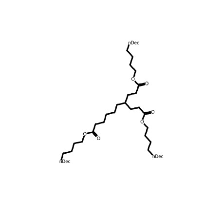 CCCCCCCCCCCCCCOC(=O)CCCCCC(CCC(=O)OCCCCCCCCCCCCCC)CCC(=O)OCCCCCCCCCCCCCC